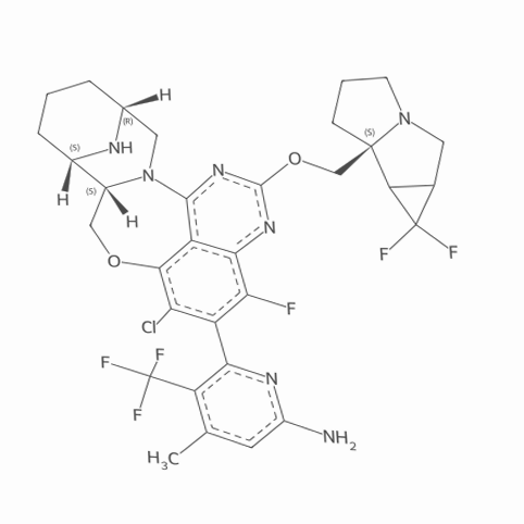 Cc1cc(N)nc(-c2c(Cl)c3c4c(nc(OC[C@@]56CCCN5CC5C6C5(F)F)nc4c2F)N2C[C@H]4CCC[C@H](N4)[C@H]2CO3)c1C(F)(F)F